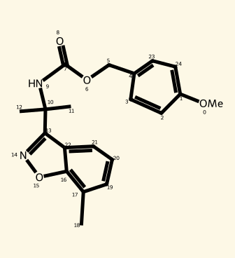 COc1ccc(COC(=O)NC(C)(C)c2noc3c(C)cccc23)cc1